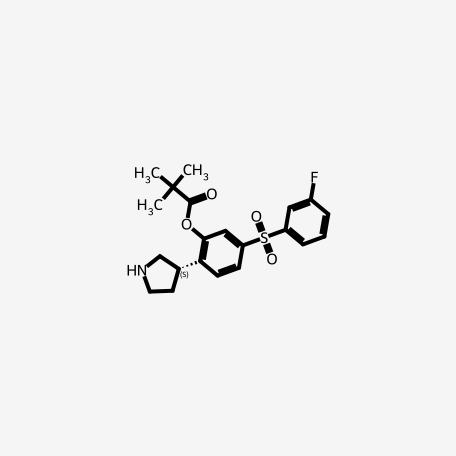 CC(C)(C)C(=O)Oc1cc(S(=O)(=O)c2cccc(F)c2)ccc1[C@@H]1CCNC1